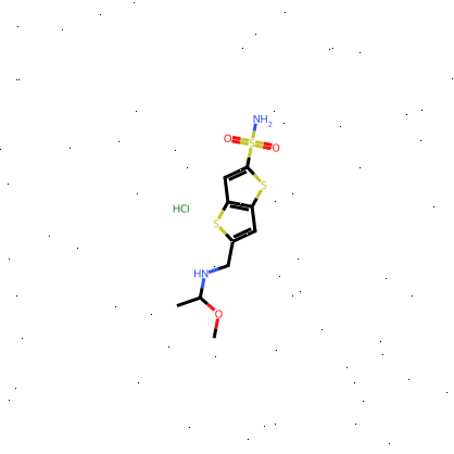 COC(C)NCc1cc2sc(S(N)(=O)=O)cc2s1.Cl